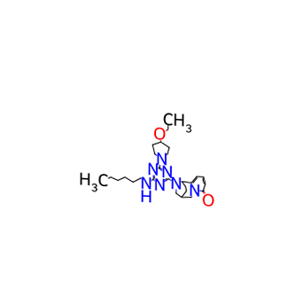 CCCCCCNc1nc(N2CCC(OCC)CC2)nc(N2CC3CCC2c2cccc(=O)n2C3)n1